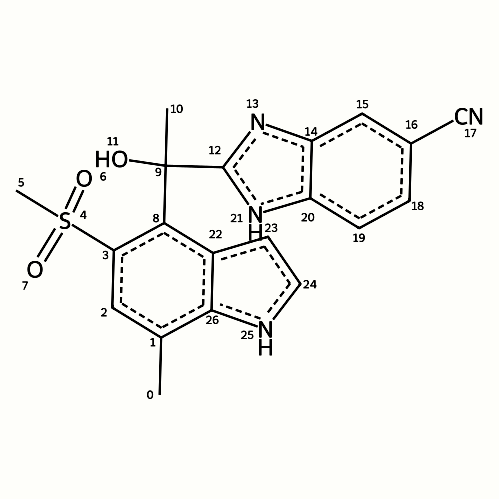 Cc1cc(S(C)(=O)=O)c(C(C)(O)c2nc3cc(C#N)ccc3[nH]2)c2cc[nH]c12